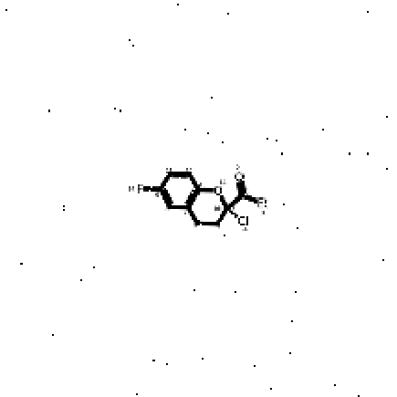 CCC(=O)[C@]1(Cl)CCc2cc(F)ccc2O1